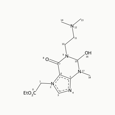 CCOC(=O)Cn1cnc2c1C(=O)N(CCN(C)C)C(O)N2C